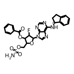 NS(=O)(=O)OCC1OC(n2cnc3c(N[C@H]4CCc5ccccc54)ncnc32)C(F)C1OC(=O)c1ccccc1